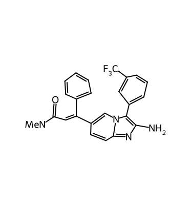 CNC(=O)/C=C(\c1ccccc1)c1ccc2nc(N)c(-c3cccc(C(F)(F)F)c3)n2c1